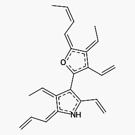 C=C/C=c1/[nH]c(C=C)c(-c2oc(=C/C=C\C)/c(=C\C)c2C=C)/c1=C/C